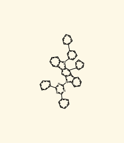 c1ccc(-c2cccc(-n3c4ccccc4c4cc5c(c(-c6ccccc6)c43)c3ccccc3n5-c3nc(-c4ccccc4)nc(-c4ccccc4)n3)c2)cc1